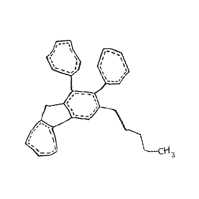 CCCCCc1cc2c(c(-c3ccccc3)c1-c1ccccc1)Cc1ccccc1-2